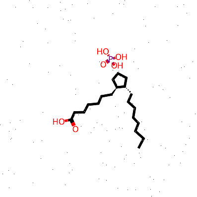 CCCCCCCC[C@H]1CCC[C@@H]1CCCCCCC(=O)O.O=P(O)(O)O